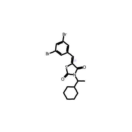 CC(C1CCCCC1)N1C(=O)S/C(=C\c2cc(Br)cc(Br)c2)C1=O